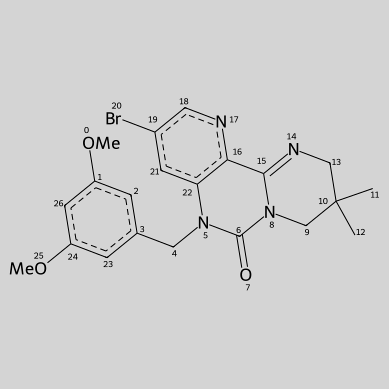 COc1cc(CN2C(=O)N3CC(C)(C)CN=C3c3ncc(Br)cc32)cc(OC)c1